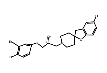 CCc1cc(OC[C@@H](O)CN2CCC3(CC2)Cc2cc(Cl)ccc2O3)ccc1Cl